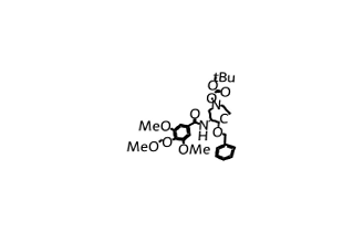 COCOc1c(OC)cc(C(=O)N[C@@H]2CN(OC(=O)OC(C)(C)C)CCC[C@H]2OCc2ccccc2)cc1OC